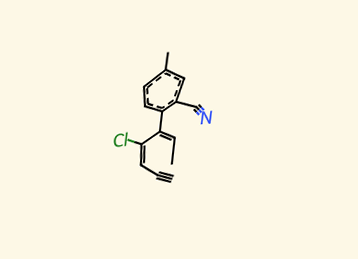 C#C/C=C(Cl)\C(=C/C)c1ccc(C)cc1C#N